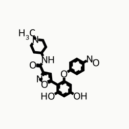 CN1CCC(NC(=O)c2cc(-c3c(O)cc(O)cc3Oc3ccc(N=O)cc3)on2)CC1